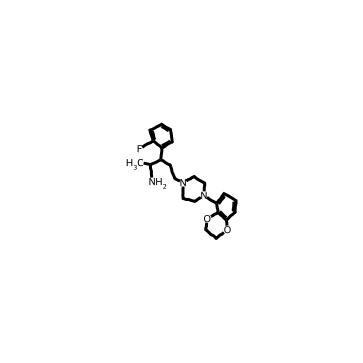 CC(N)C(CCN1CCN(c2cccc3c2OCCO3)CC1)c1ccccc1F